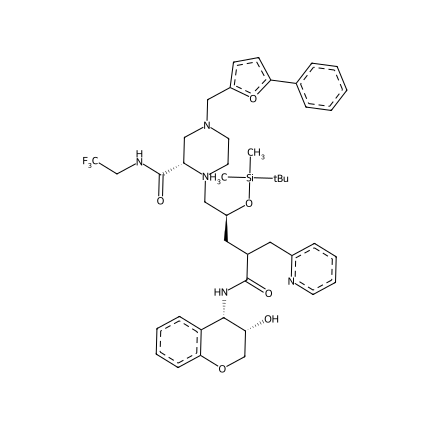 CC(C)(C)[Si](C)(C)O[C@@H](CC(Cc1ccccn1)C(=O)N[C@H]1c2ccccc2OC[C@H]1O)CN1CCN(Cc2ccc(-c3ccccc3)o2)C[C@H]1C(=O)NCC(F)(F)F